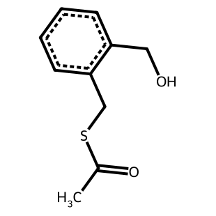 CC(=O)SCc1ccccc1CO